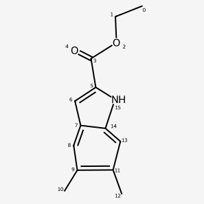 CCOC(=O)c1cc2cc(C)c(C)cc2[nH]1